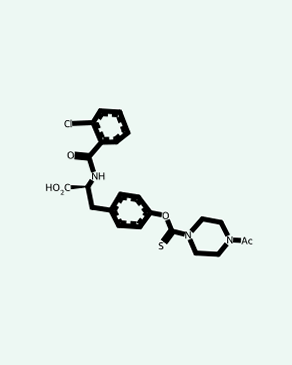 CC(=O)N1CCN(C(=S)Oc2ccc(C[C@H](NC(=O)c3ccccc3Cl)C(=O)O)cc2)CC1